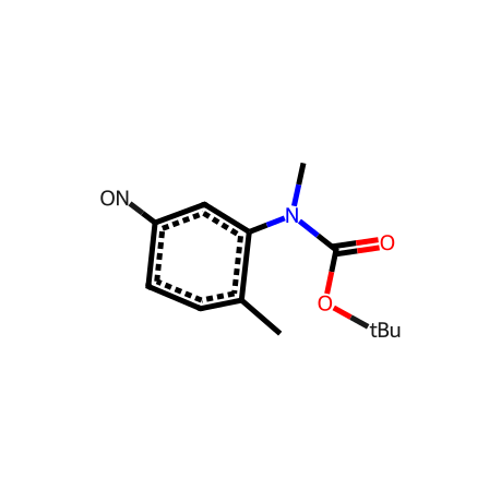 Cc1ccc(N=O)cc1N(C)C(=O)OC(C)(C)C